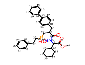 COC(=O)C(NC(=O)C(Cc1ccc(-c2ccccc2)cc1)CP(O)CCc1ccccc1)C1CCCCC1